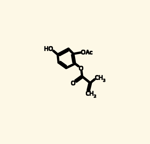 C=C(C)C(=O)Oc1ccc(O)cc1OC(C)=O